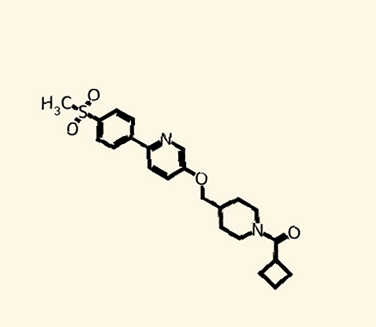 CS(=O)(=O)c1ccc(-c2ccc(OCC3CCN(C(=O)C4CCC4)CC3)cn2)cc1